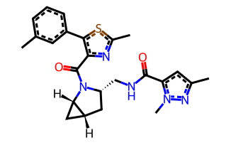 Cc1cccc(-c2sc(C)nc2C(=O)N2[C@H](CNC(=O)c3cc(C)nn3C)C[C@@H]3C[C@@H]32)c1